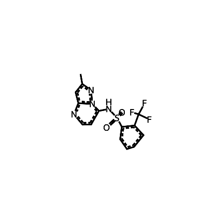 Cc1cc2nccc(NS(=O)(=O)c3ccccc3C(F)(F)F)n2n1